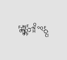 Cc1nc(-c2c(C(F)(F)F)ccc(CNC(=O)[C@H]3C[C@H](OCc4cc(Cl)ccc4F)C3)c2F)[nH]c(=O)c1F